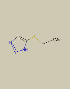 CSCSc1cnn[nH]1